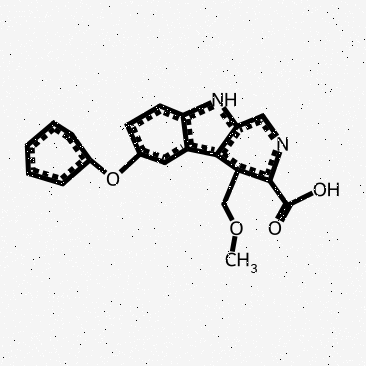 COCc1c(C(=O)O)ncc2[nH]c3ccc(Oc4ccccc4)cc3c12